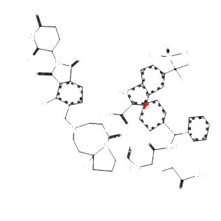 NC(=O)CC[C@H](NC(=O)[C@@H]1CC[C@@H]2CCN(Cc3ccc4c(c3F)C(=O)N(C3CCC(=O)NC3=O)C4=O)C[C@H](NC(=O)c3cc4cc(C(F)(F)P(=O)(O)O)ccc4[nH]3)C(=O)N21)C(=O)NC(c1ccccc1)c1ccccc1